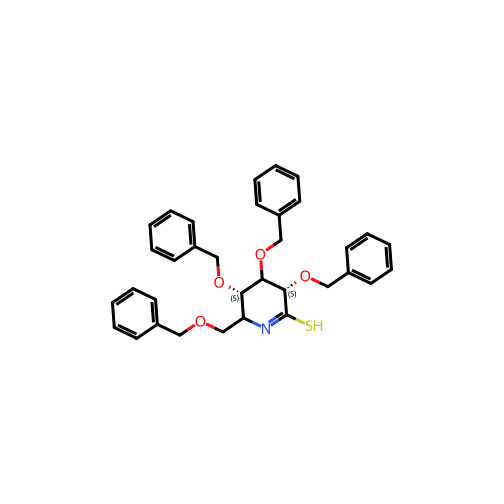 SC1=NC(COCc2ccccc2)[C@H](OCc2ccccc2)C(OCc2ccccc2)[C@@H]1OCc1ccccc1